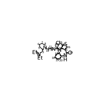 CCN(CC)CC1CCCCN1CCNC(=O)N1c2ccccc2NC(=O)c2csc(Cl)c21